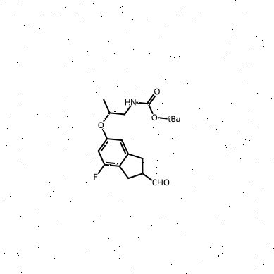 CC(CNC(=O)OC(C)(C)C)Oc1cc(F)c2c(c1)CC(C=O)C2